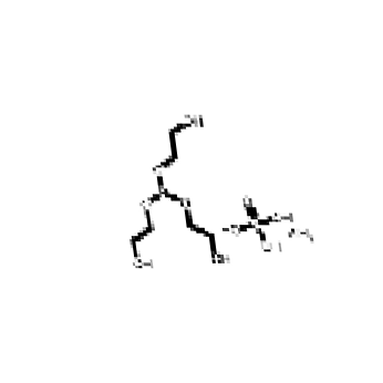 O=P(O)(O)O.OCCON(OCCO)OCCO.[AlH3]